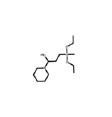 CCO[Si](C)(CCC(O)N1CCCCC1)OCC